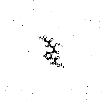 CCC(=O)N[C@@H](C)C(=O)N1CCC[C@H]1C(=O)NC